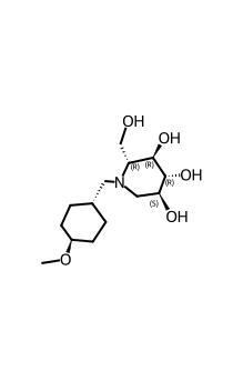 CO[C@H]1CC[C@H](CN2C[C@H](O)[C@@H](O)[C@H](O)[C@H]2CO)CC1